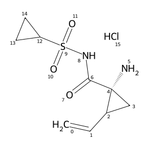 C=CC1C[C@]1(N)C(=O)NS(=O)(=O)C1CC1.Cl